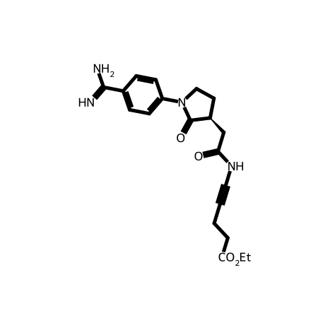 CCOC(=O)CCC#CNC(=O)C[C@@H]1CCN(c2ccc(C(=N)N)cc2)C1=O